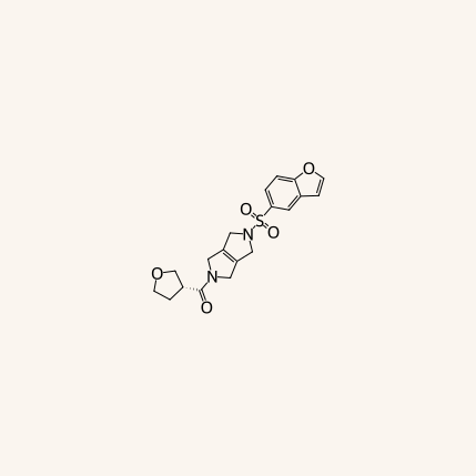 O=C([C@@H]1CCOC1)N1CC2=C(C1)CN(S(=O)(=O)c1ccc3occc3c1)C2